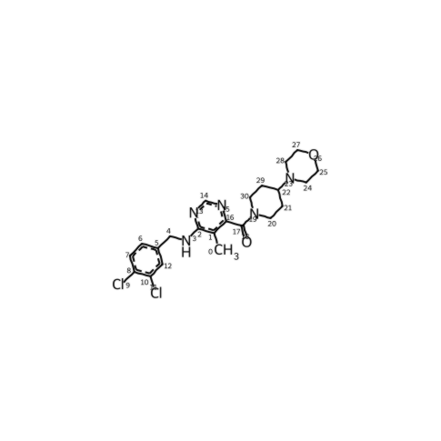 Cc1c(NCc2ccc(Cl)c(Cl)c2)ncnc1C(=O)N1CCC(N2CCOCC2)CC1